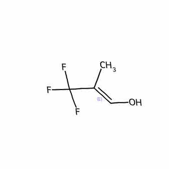 C/C(=C\O)C(F)(F)F